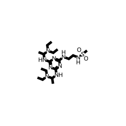 CCN(CC)C(C)Nc1nc(NCCNS(C)(=O)=O)nc(NC(C)N(CC)CC)n1